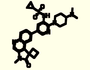 CN1C(=O)C2(CCC2)c2c1cnc1ccc(-c3cnc(N4CCC(N(C)C)CC4)c(NS(=O)(=O)C4CC4)c3)cc21